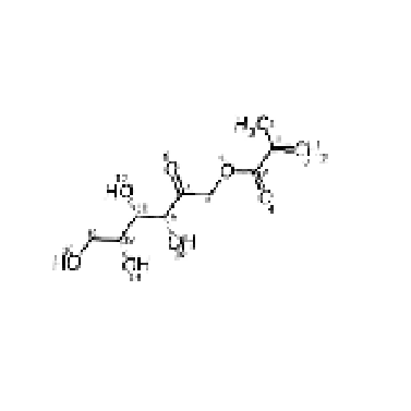 C=C(C)C(=O)OCC(=O)[C@H](O)[C@@H](O)[C@H](O)CO